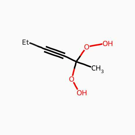 CCC#CC(C)(OO)OO